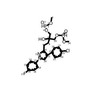 CO[PH](=O)OCC(O)(CCc1nn(-c2ccc(F)cc2)cc1-c1ccc(Cl)cc1)CO[PH](=O)OC